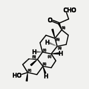 C[C@@]1(O)CC[C@@]2(C)[C@H](CC[C@@H]3[C@@H]2CC[C@]2(C)[C@@H](C(=O)CC=O)CC[C@@H]32)C1